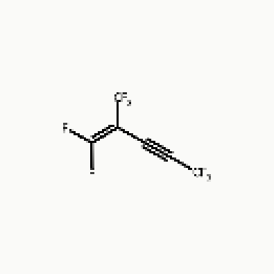 FC(F)=C(C#CC(F)(F)F)C(F)(F)F